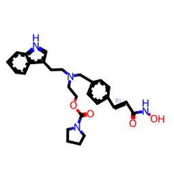 O=C(/C=C/c1ccc(CN(CCOC(=O)N2CCCC2)CCc2c[nH]c3ccccc23)cc1)NO